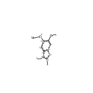 COc1cc2sc(C)[n+](C)c2cc1OC